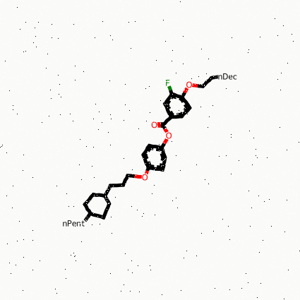 CCCCCCCCCCCCOc1ccc(C(=O)Oc2ccc(OCCCC3CCC(CCCCC)CC3)cc2)cc1F